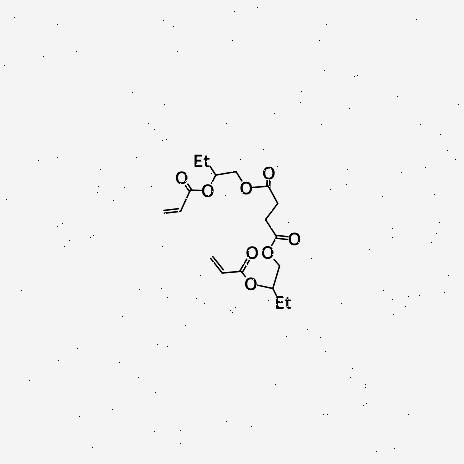 C=CC(=O)OC(CC)COC(=O)CCC(=O)OCC(CC)OC(=O)C=C